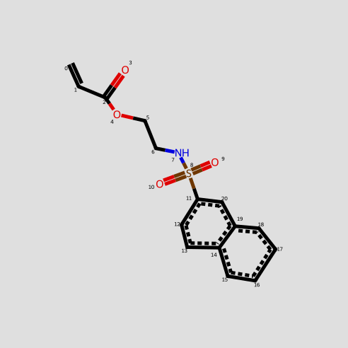 C=CC(=O)OCCNS(=O)(=O)c1ccc2ccccc2c1